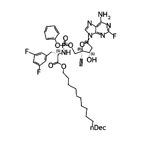 C#C[C@]1(CO[P@@](=O)(N[C@@H](Cc2cc(F)cc(F)c2)C(=O)OCCCCCCCCCCCCCCCCCCCC)Oc2ccccc2)O[C@@H](n2cnc3c(N)nc(F)nc32)C[C@@H]1O